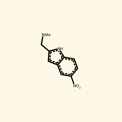 CNCc1cc2cc([N+](=O)[O-])ccc2[nH]1